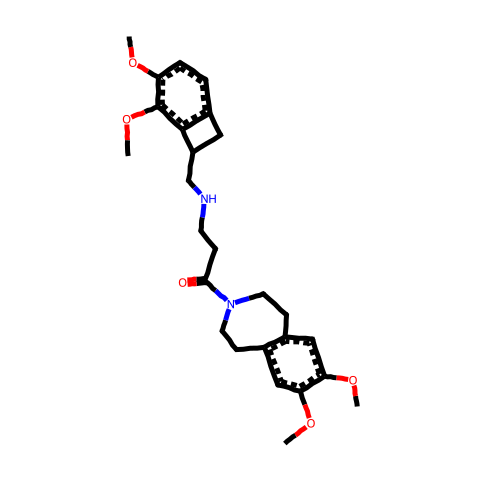 COc1cc2c(cc1OC)CCN(C(=O)CCNCC1Cc3ccc(OC)c(OC)c31)CC2